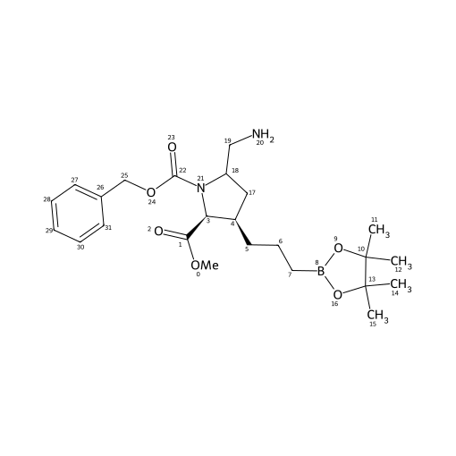 COC(=O)[C@@H]1[C@H](CCCB2OC(C)(C)C(C)(C)O2)CC(CN)N1C(=O)OCc1ccccc1